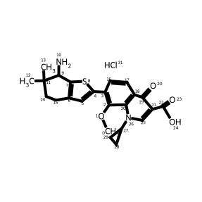 COc1c(-c2cc3c(s2)C(N)C(C)(C)CC3)ccc2c(=O)c(C(=O)O)cn(C3CC3)c12.Cl